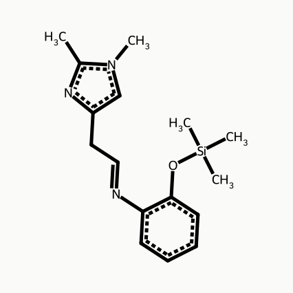 Cc1nc(CC=Nc2ccccc2O[Si](C)(C)C)cn1C